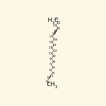 CCC#CCCCCCCC[CH]CCCCCCC#CCCCC